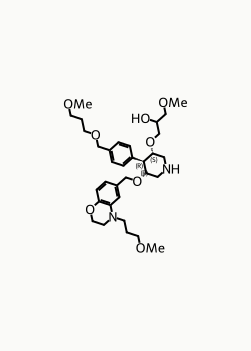 COCCCOCc1ccc([C@@H]2[C@@H](OCc3ccc4c(c3)N(CCCOC)CCO4)CNC[C@H]2OCC(O)COC)cc1